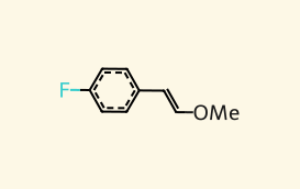 COC=Cc1ccc(F)cc1